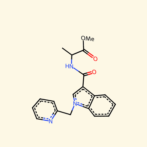 COC(=O)C(C)NC(=O)c1cn(Cc2ccccn2)c2ccccc12